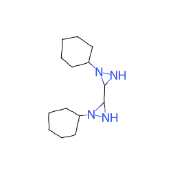 C1CCC(N2NC2C2NN2C2CCCCC2)CC1